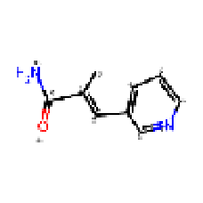 C/C(=C\c1cccnc1)C(N)=O